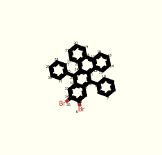 Brc1cc2c(-c3ccccc3)c3c4ccccc4c4ccccc4c3c(-c3ccccc3)c2cc1Br